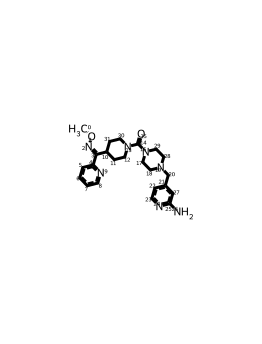 CON=C(c1ccccn1)C1CCN(C(=O)N2CCN(Cc3ccnc(N)c3)CC2)CC1